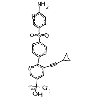 C[C@](O)(c1cnc(-c2ccc(S(=O)(=O)c3ccc(N)nc3)cc2)c(C#CC2CC2)c1)C(F)(F)F